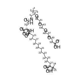 CC(C)(C)C(CNC(=O)CC[C@H](NC(=O)CCCCCCCCCCCCCC(C(=O)O)C(C)(C)C)C(=O)O)OCCOCCOCCOCCC(=O)O